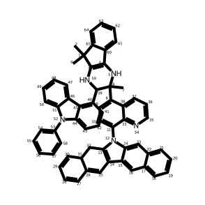 CC1(C)C2=C(NC(C)(c3ccc(-n4c5c(c6cc7ccccc7cc64)C=C4C=CC=CC4C5)c4ncccc34)C(c3cccc4c3c3ccccc3n4-c3ccccc3)N2)c2ccccc21